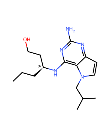 CCC[C@@H](CCO)Nc1nc(N)nc2ccn(CC(C)C)c12